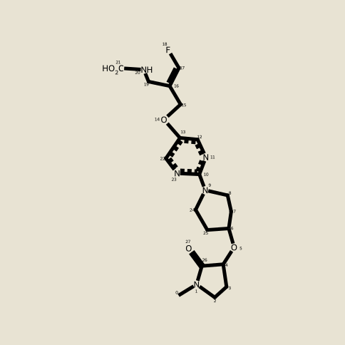 CN1CCC(OC2CCN(c3ncc(OC/C(=C/F)CNC(=O)O)cn3)CC2)C1=O